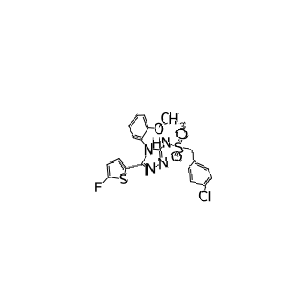 COc1ccccc1-n1c(NS(=O)(=O)Cc2ccc(Cl)cc2)nnc1-c1ccc(F)s1